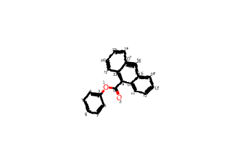 O=C(Oc1ccccc1)c1c2ccccc2cc2ccccc12